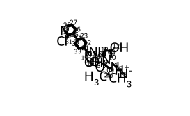 CC(C)[C@H](N=[N+]=[N-])C(=O)N1C[C@H](O)C[C@H]1C(=O)N[C@@H](CO)c1ccc(-c2cccnc2Cl)cc1